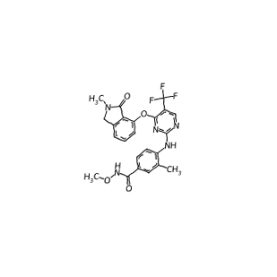 CONC(=O)c1ccc(Nc2ncc(C(F)(F)F)c(Oc3cccc4c3C(=O)N(C)C4)n2)c(C)c1